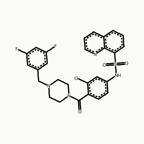 O=C(c1ccc(NS(=O)(=O)c2cccc3cccnc23)cc1Cl)N1CCN(Cc2cc(F)cc(F)c2)CC1